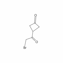 O=C1CC(C(=O)CBr)C1